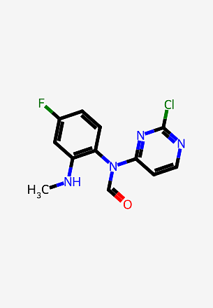 CNc1cc(F)ccc1N(C=O)c1ccnc(Cl)n1